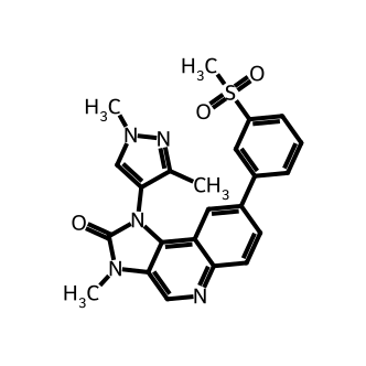 Cc1nn(C)cc1-n1c(=O)n(C)c2cnc3ccc(-c4cccc(S(C)(=O)=O)c4)cc3c21